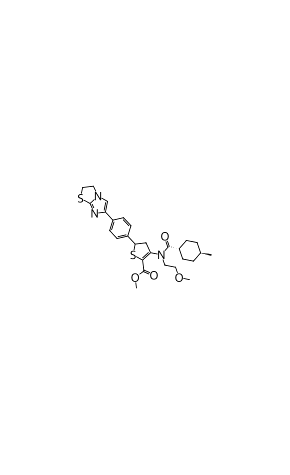 COCCN(C1=C(C(=O)OC)SC(c2ccc(-c3cn4c(n3)SCC4)cc2)C1)C(=O)[C@H]1CC[C@H](C)CC1